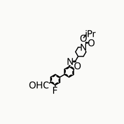 CC(C)OC(=O)N1CCC(c2nc3cc(-c4ccc(C=O)c(F)c4)ccc3o2)CC1